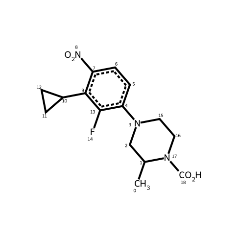 CC1CN(c2ccc([N+](=O)[O-])c(C3CC3)c2F)CCN1C(=O)O